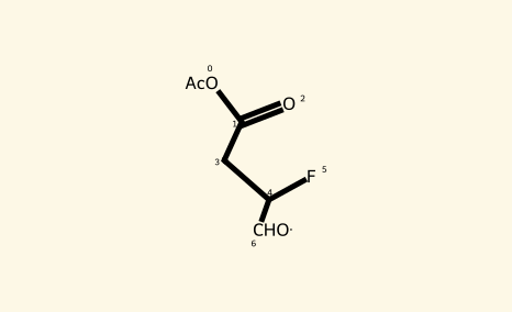 CC(=O)OC(=O)CC(F)[C]=O